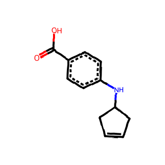 O=C(O)c1ccc(NC2CC=CC2)cc1